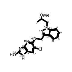 COC(C)Cn1nc(CNc2nc3nc(O)[nH]c3cc2Cl)c2ccccc21